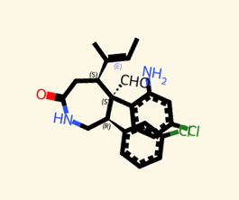 C/C=C(\C)[C@@H]1CC(=O)NC[C@H](c2cccc(Cl)c2)[C@]1(C=O)c1ccc(Cl)cc1N